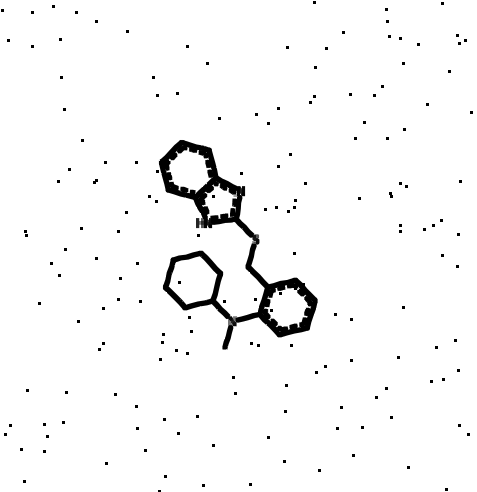 CN(c1ccccc1CSc1nc2ccccc2[nH]1)C1CCCCC1